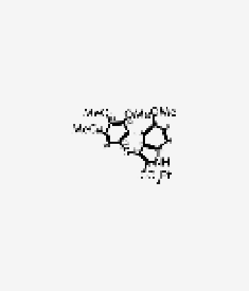 CCOC(=O)c1[nH]c2ccc(OC)cc2c1Sc1cc(OC)c(OC)c(OC)c1